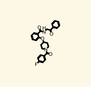 O=C(CNC(=O)c1ccccc1OC1CCN(C(=O)c2ccc(F)cc2)CC1)c1ccccc1